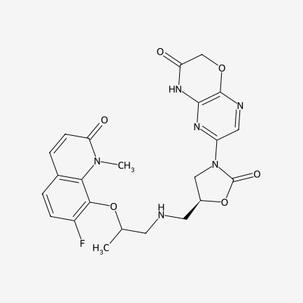 CC(CNC[C@H]1CN(c2cnc3c(n2)NC(=O)CO3)C(=O)O1)Oc1c(F)ccc2ccc(=O)n(C)c12